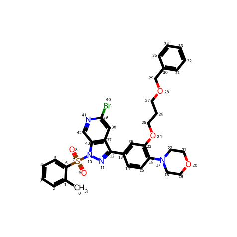 Cc1ccccc1S(=O)(=O)n1nc(-c2ccc(N3CCOCC3)c(OCCCOCc3ccccc3)c2)c2cc(Br)ncc21